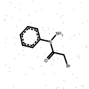 NN(C(=O)CBr)c1ccccc1